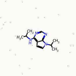 CC(C)Nc1ncnc2c1ccn2C(C)C